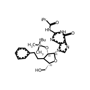 CC(C)C(=O)Nc1nc2c(ncn2[C@@H]2O[C@H](CO)C(CCc3ccccc3)[C@@H]2O[Si](C)(C)C(C)(C)C)c(=O)[nH]1